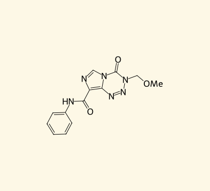 COCn1nnc2c(C(=O)Nc3ccccc3)ncn2c1=O